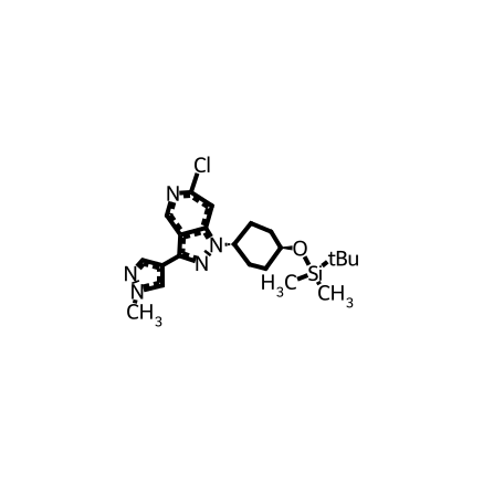 Cn1cc(-c2nn([C@H]3CC[C@H](O[Si](C)(C)C(C)(C)C)CC3)c3cc(Cl)ncc23)cn1